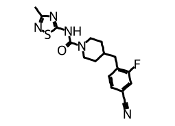 Cc1nsc(NC(=O)N2CCC(Cc3ccc(C#N)cc3F)CC2)n1